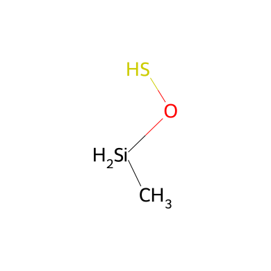 C[SiH2]OS